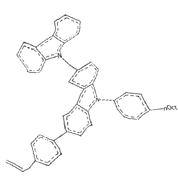 C=Cc1ccc(-c2ccc3c(c2)c2cc(-n4c5ccccc5c5ccccc54)ccc2n3-c2ccc(CCCCCCCC)cc2)cc1